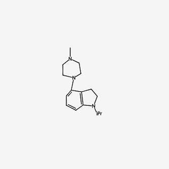 CC(C)N1CCc2c(N3CCN(C)CC3)cccc21